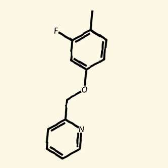 Cc1ccc(OCc2ccccn2)cc1F